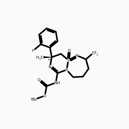 CC(C)(C)OC(=O)NC1=N[C@](C)(c2ccccc2F)CS2(=O)=NC(C(F)(F)F)CCCN12